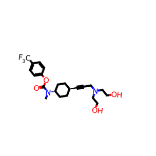 CN(C(=O)Oc1ccc(C(F)(F)F)cc1)[C@H]1CC[C@H](C#CCN(CCO)CCO)CC1